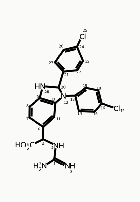 N=C(N)NC(C(=O)O)c1ccc2c(c1)N(c1ccc(Cl)cc1)C(c1ccc(Cl)cc1)N2